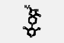 CC1=NC2(CCN(c3c(Cl)cncc3Br)CC2)C(=O)N1